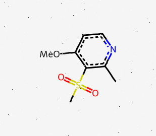 COc1ccnc(C)c1S(C)(=O)=O